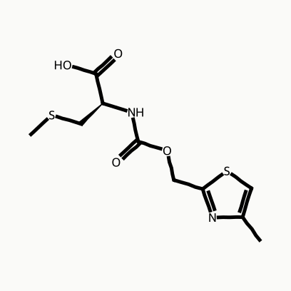 CSC[C@H](NC(=O)OCc1nc(C)cs1)C(=O)O